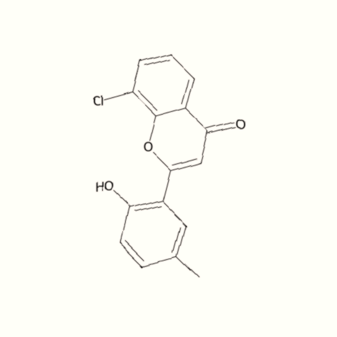 Cc1ccc(O)c(-c2cc(=O)c3cccc(Cl)c3o2)c1